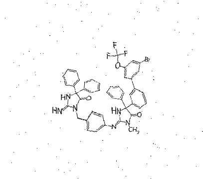 CN1C(=O)C(c2ccccc2)(c2cccc(-c3cc(Br)cc(OC(F)(F)F)c3)c2)NC1=Nc1ccc(CN2C(=N)NC(c3ccccc3)(c3ccccc3)C2=O)cc1